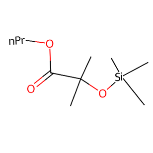 CCCOC(=O)C(C)(C)O[Si](C)(C)C